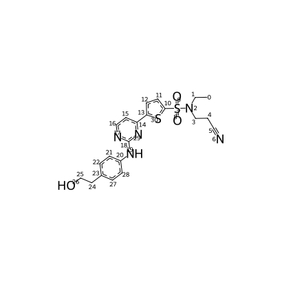 CCN(CCC#N)S(=O)(=O)c1ccc(-c2ccnc(Nc3ccc(CCO)cc3)n2)s1